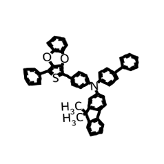 CC1(C)c2ccccc2-c2ccc(N(c3ccc(-c4ccccc4)cc3)c3ccc(-c4sc(-c5ccccc5)c5c4Oc4ccccc4O5)cc3)cc21